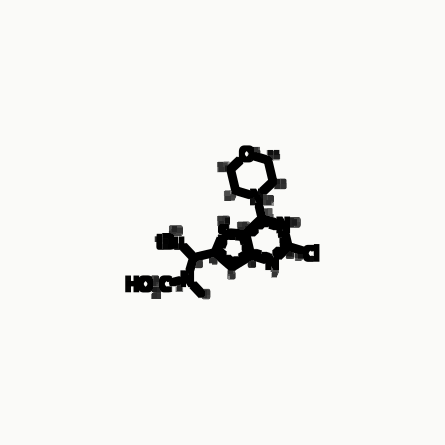 CN(C(=O)O)C(c1cc2nc(Cl)nc(N3CCOCC3)c2s1)C(C)(C)C